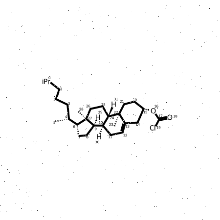 CC(C)CCC[C@@H](C)[C@H]1CC[C@@H]2[C@@H]3CC=C4C[C@@H](OC(=O)Cl)CC[C@]4(C)[C@H]3CC[C@@]21C